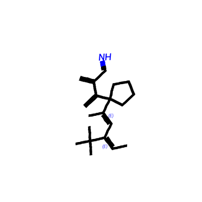 C=C(C=N)C(=C)C1(/C(C)=C/C(=C\C)C(C)(C)C)CCCC1